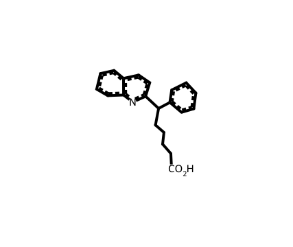 O=C(O)CCCCC(c1ccccc1)c1ccc2ccccc2n1